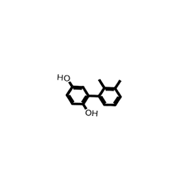 Cc1cccc(-c2cc(O)ccc2O)c1C